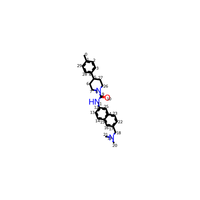 Cc1ccc(C2CCN(C(=O)Nc3ccc4cc(CN(C)C)ccc4c3)CC2)cc1